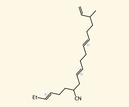 C=CC(C)CC/C=C/CC/C=C/CC(C#N)CC/C=C/CC